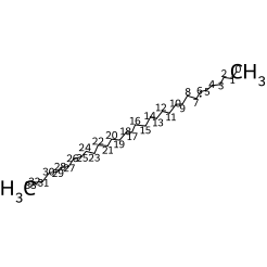 CCCCCC[CH]CCCCCCCCCCCCCCCCCCCCCCCCCCC